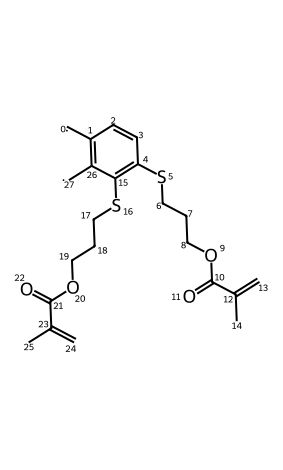 [CH2]c1ccc(SCCCOC(=O)C(=C)C)c(SCCCOC(=O)C(=C)C)c1[CH2]